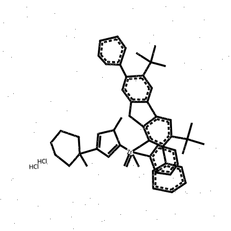 Cl.Cl.[CH2]=[Zr]([CH3])([C]1=CC(C2(C)CCCCC2)=CC1C)([c]1ccccc1)[c]1c2c(cc(C(C)(C)C)c1-c1ccccc1)-c1cc(C(C)(C)C)c(-c3ccccc3)cc1C2